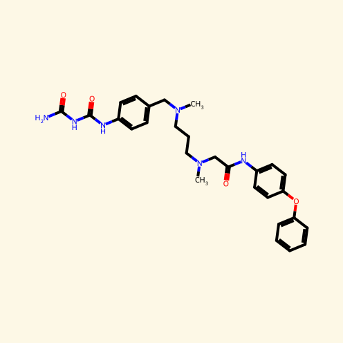 CN(CCCN(C)Cc1ccc(NC(=O)NC(N)=O)cc1)CC(=O)Nc1ccc(Oc2ccccc2)cc1